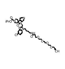 C#CCOCCOCCOCCOCCC(=O)NCCCCn1c(CN2C(=O)C3(CCN(C(=O)OC(C)C)CC3)c3ccncc32)nc2cc(Cl)ccc21